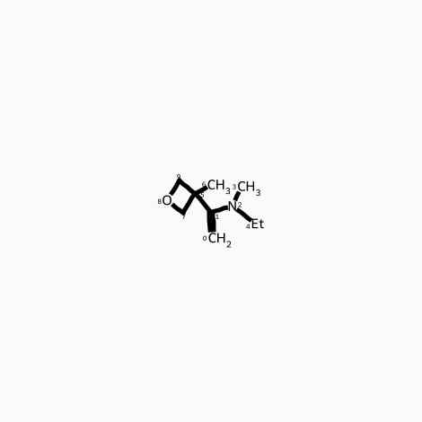 C=C(N(C)CC)C1(C)COC1